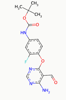 CC(C)(C)OC(=O)Nc1ccc(Oc2ncnc(N)c2C=O)c(F)c1